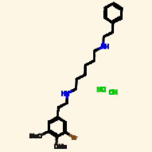 COc1cc(CCNCCCCCCNCCc2ccccc2)cc(Br)c1OC.Cl.Cl